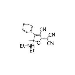 CC1(C)OC(=C(C#N)C#N)C(C#N)=C1c1ccccc1.CCNCC